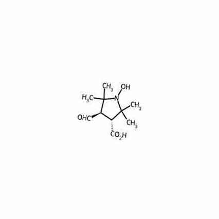 CC1(C)[C@H](C=O)[C@@H](C(=O)O)C(C)(C)N1O